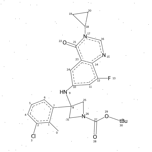 Cc1c(Cl)cccc1C1(Nc2cc(F)c3ncn(C4CC4)c(=O)c3c2)CN(C(=O)OC(C)(C)C)C1